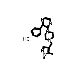 Cc1c(CN2CCN(c3nccnc3-c3ccccc3)CC2)cnn1C.Cl